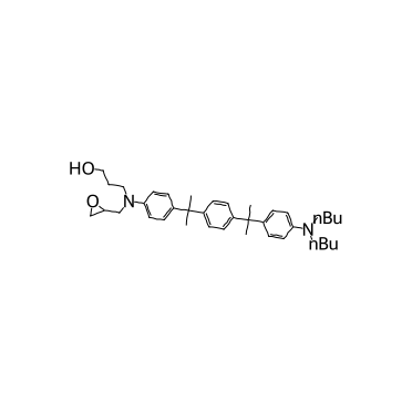 CCCCN(CCCC)c1ccc(C(C)(C)c2ccc(C(C)(C)c3ccc(N(CCCO)CC4CO4)cc3)cc2)cc1